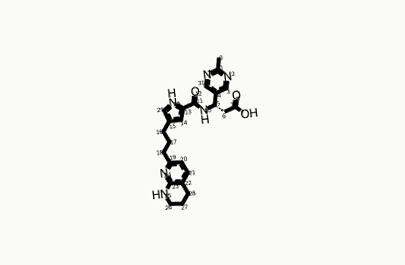 Cc1ncc([C@H](CC(=O)O)NC(=O)c2cc(CCCc3ccc4c(n3)NCCC4)c[nH]2)cn1